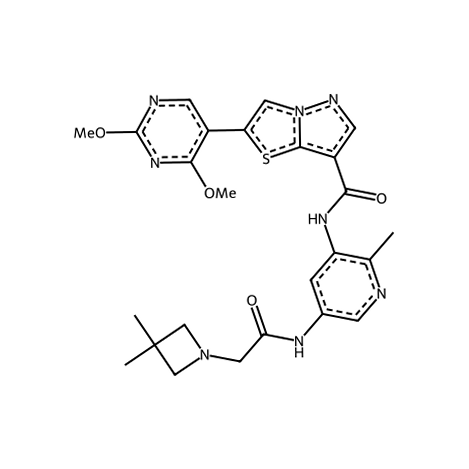 COc1ncc(-c2cn3ncc(C(=O)Nc4cc(NC(=O)CN5CC(C)(C)C5)cnc4C)c3s2)c(OC)n1